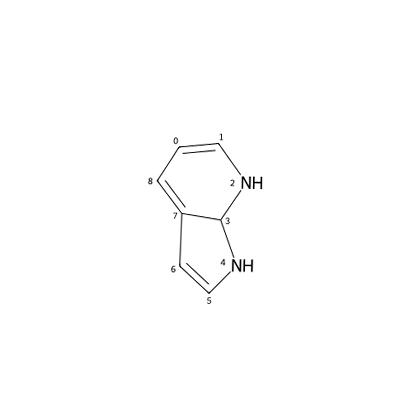 C1=CNC2NC=CC2=C1